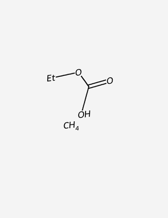 C.CCOC(=O)O